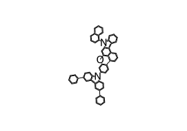 c1ccc(-c2ccc3c(c2)c2cc(-c4ccccc4)ccc2n3-c2ccc3c(c2)Oc2cc4c(c5cccc-3c25)c2ccccc2n4-c2cccc3ccccc23)cc1